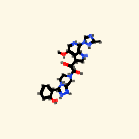 COc1cnc(-n2cnc(C)n2)c2[nH]cc(C(=O)C(=O)N3CCn4c(nnc4-c4ccccc4O)C3)c12